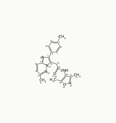 Cc1ccc(-c2nc3ccc(C)nn3c2CC(=O)Nc2c(C)noc2C)cc1